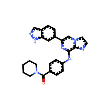 O=C(c1ccc(Nc2nc(-c3ccc4cn[nH]c4c3)cn3ccnc23)cc1)N1CCCCC1